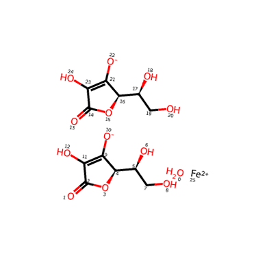 O.O=C1O[C@H]([C@@H](O)CO)C([O-])=C1O.O=C1O[C@H]([C@@H](O)CO)C([O-])=C1O.[Fe+2]